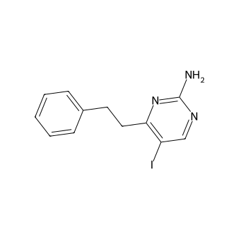 Nc1ncc(I)c(CCc2ccccc2)n1